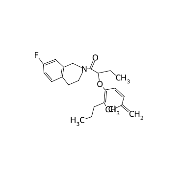 C=C(Cl)/C=C\C(OC(CC)C(=O)N1CCc2ccc(F)cc2C1)=C(/C)CCC